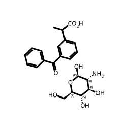 CC(C(=O)O)c1cccc(C(=O)c2ccccc2)c1.N[C@@H]1[C@@H](O)[C@H](O)[C@@H](CO)O[C@H]1O